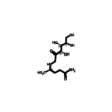 NC(=O)CC[C@H](NCC(=O)[C@@H](O)[C@H](O)[C@H](O)CO)C(=O)O